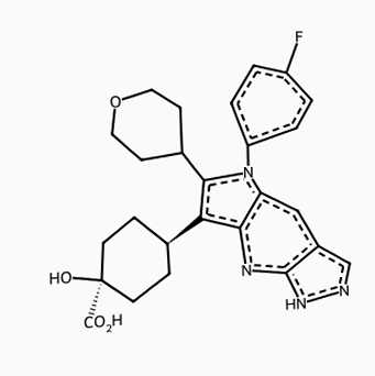 O=C(O)[C@]1(O)CC[C@@H](c2c(C3CCOCC3)n(-c3ccc(F)cc3)c3cc4cn[nH]c4nc32)CC1